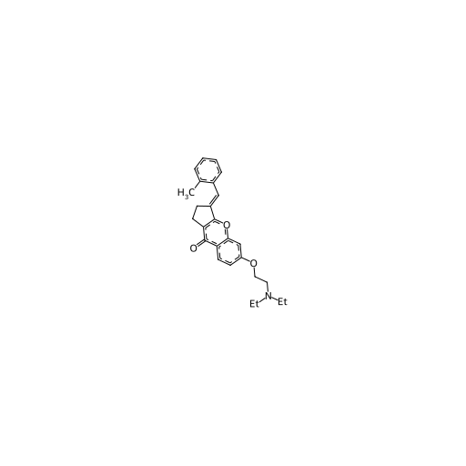 CCN(CC)CCOc1ccc2c(=O)c3c(oc2c1)/C(=C/c1ccccc1C)CC3